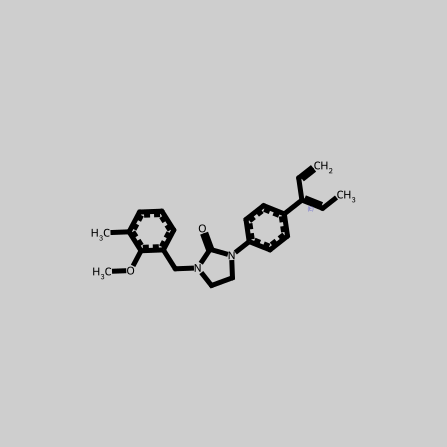 C=C/C(=C\C)c1ccc(N2CCN(Cc3cccc(C)c3OC)C2=O)cc1